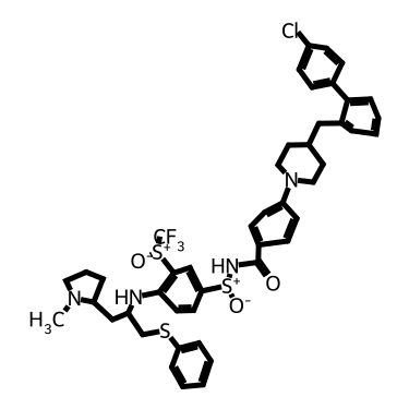 CN1CCCC1CC(CSc1ccccc1)Nc1ccc([S+]([O-])NC(=O)c2ccc(N3CCC(Cc4ccccc4-c4ccc(Cl)cc4)CC3)cc2)cc1[S+]([O-])C(F)(F)F